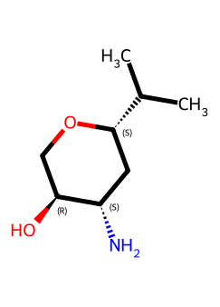 CC(C)[C@@H]1C[C@H](N)[C@@H](O)CO1